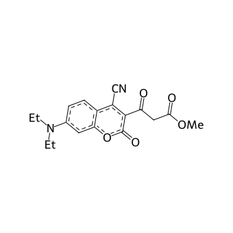 CCN(CC)c1ccc2c(C#N)c(C(=O)CC(=O)OC)c(=O)oc2c1